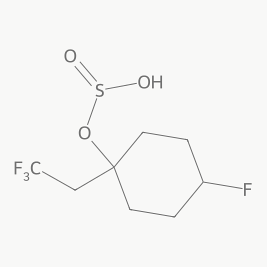 O=S(O)OC1(CC(F)(F)F)CCC(F)CC1